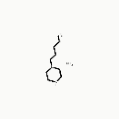 CCCCCN1CCNCC1.N